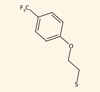 FC(F)(F)c1ccc(OCC[S])cc1